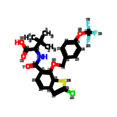 CC(C)(C)C(NC(=O)C1=C(OCc2ccc(OC(F)(F)F)cc2)C2SC(Cl)=CC2C=C1)C(=O)O